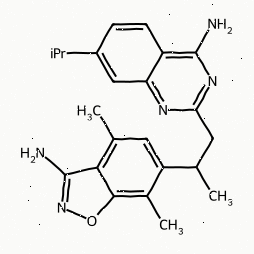 Cc1c(C(C)Cc2nc(N)c3ccc(C(C)C)cc3n2)cc(C)c2c(N)noc12